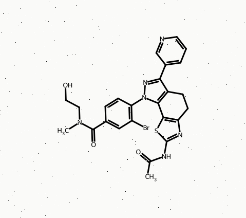 CC(=O)Nc1nc2c(s1)-c1c(c(-c3cccnc3)nn1-c1ccc(C(=O)N(C)CCO)cc1Br)CC2